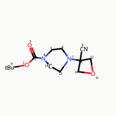 CC(C)(C)OC(=O)N1CCN(C2(C#N)COC2)CC1